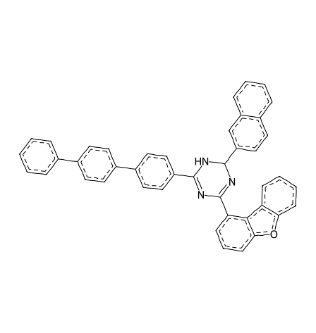 c1ccc(-c2ccc(-c3ccc(C4=NC(c5cccc6oc7ccccc7c56)=NC(c5ccc6ccccc6c5)N4)cc3)cc2)cc1